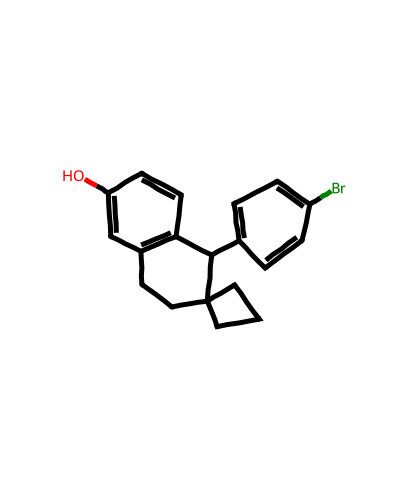 Oc1ccc2c(c1)CCC1(CCC1)C2c1ccc(Br)cc1